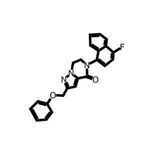 O=C1c2cc(COc3ccccc3)nn2CCN1c1ccc(F)c2ccccc12